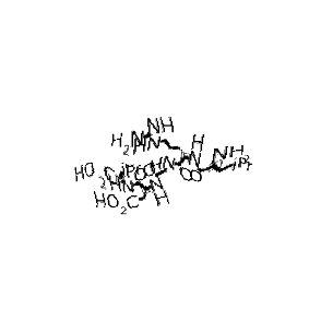 CC(C)C[C@H](N)C(=O)N[C@@H](CCCNC(=N)N)C(=O)NCC(=O)N[C@@H](CC(=O)O)C(=O)N[C@H](C(=O)O)C(C)C